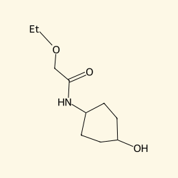 CCOCC(=O)NC1CCC(O)CC1